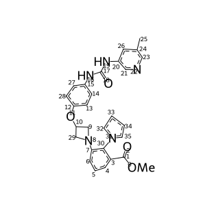 COC(=O)c1cccc(N2CC(Oc3ccc(NC(=O)Nc4cncc(C)c4)cc3)C2)c1-n1cccc1